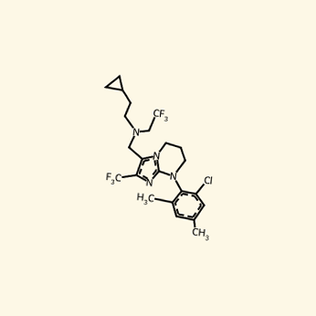 Cc1cc(C)c(N2CCCn3c2nc(C(F)(F)F)c3CN(CCC2CC2)CC(F)(F)F)c(Cl)c1